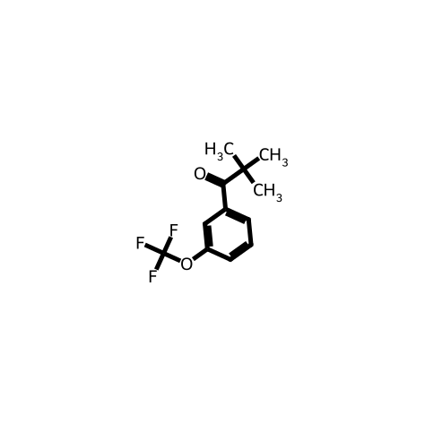 CC(C)(C)C(=O)c1cccc(OC(F)(F)F)c1